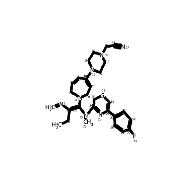 C=N/C(CC)=C(\N1CC=CC(N2CCN(CC#N)CC2)=CC1)N(C)C1=NC(c2ccc(F)cc2)=CSC1